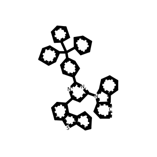 c1ccc(C(c2ccccc2)(c2ccccc2)c2ccc(-c3nc(-c4cccc5sc6ccccc6c45)cc(-n4c5ccccc5c5ccccc54)n3)cc2)cc1